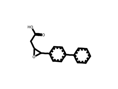 O=C(O)CC1OC1c1ccc(-c2ccccc2)cc1